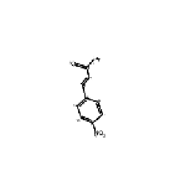 CC(C)C(=O)C=Cc1ccc([N+](=O)[O-])cc1